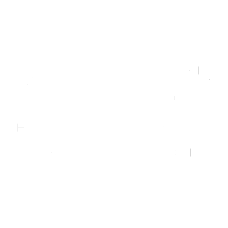 C=C=C(C)C(C=C=CC)C=CC=C